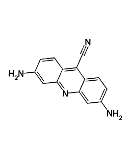 N#Cc1c2ccc(N)cc2nc2cc(N)ccc12